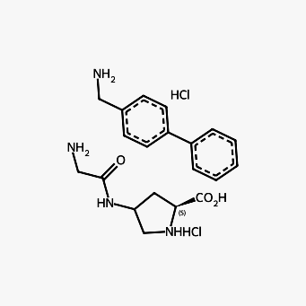 Cl.Cl.NCC(=O)NC1CN[C@H](C(=O)O)C1.NCc1ccc(-c2ccccc2)cc1